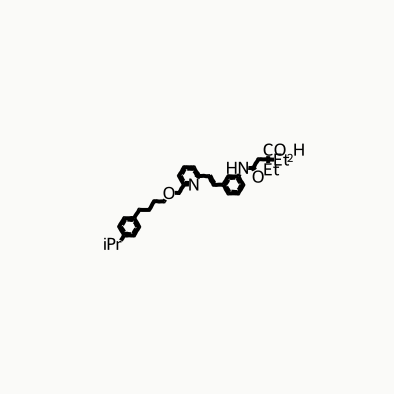 CCC(CC)(CC(=O)Nc1cccc(/C=C/c2cccc(COCCCCc3ccc(C(C)C)cc3)n2)c1)C(=O)O